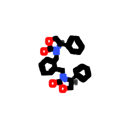 O=C1OC[C@@H](c2ccccc2)N1Cc1ccccc1CN1C(=O)OC[C@H]1c1ccccc1